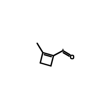 CC1=C([C]=O)CC1